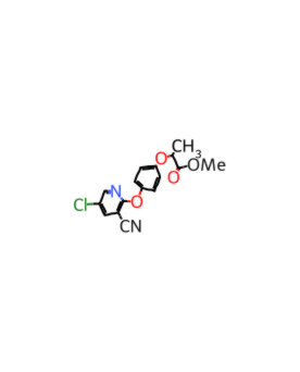 COC(=O)C(C)Oc1ccc(Oc2ncc(Cl)cc2C#N)cc1